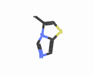 [CH2]c1csc2cncn12